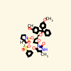 COc1ccc(C(OC[C@H]2O[C@@H](n3c(=O)cc(C)[nH]c3=O)C[C@@H]2O[P@@]2O[C@H](CS(=O)(=O)c3ccccc3)[C@@H]3CCCN32)(c2ccccc2)c2ccc(OC)cc2)cc1